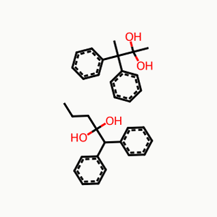 CC(O)(O)C(C)(c1ccccc1)c1ccccc1.CCCC(O)(O)C(c1ccccc1)c1ccccc1